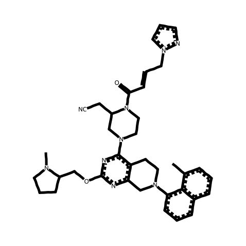 Cc1cccc2cccc(N3CCc4c(nc(OCC5CCCN5C)nc4N4CCN(C(=O)/C=C/Cn5cccn5)C(CC#N)C4)C3)c12